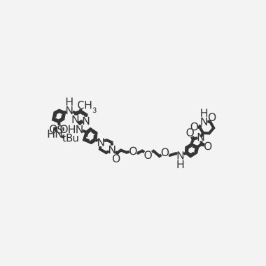 Cc1cnc(Nc2ccc(N3CCN(C(=O)CCOCCOCCOCCNc4ccc5c(c4)C(=O)N(C4CCC(=O)NC4=O)C5=O)CC3)cc2)nc1Nc1cccc(S(=O)(=O)NC(C)(C)C)c1